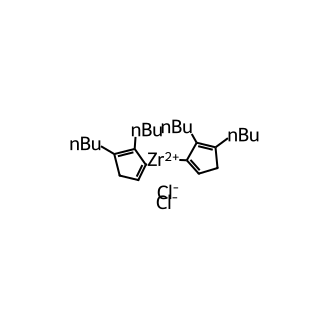 CCCCC1=C(CCCC)[C]([Zr+2][C]2=CCC(CCCC)=C2CCCC)=CC1.[Cl-].[Cl-]